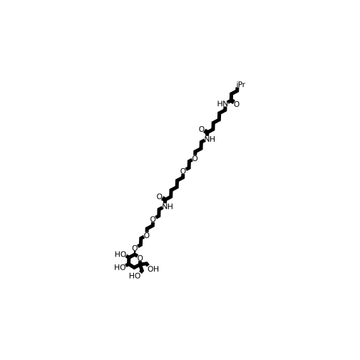 CC(C)CCC(=O)NCCCCCC(=O)NCCCOCCOCCCCCC(=O)NCCOCCOCCO[C@H]1OC(CO)(CO)CC(O)C1O